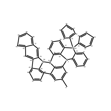 Cc1cc2c3c(c1)N1c4ccccc4[Si](c4ccccc4)(c4ccccc4)c4cccc(c41)B3n1c3cc4ccccc4cc3c3cccc-2c31